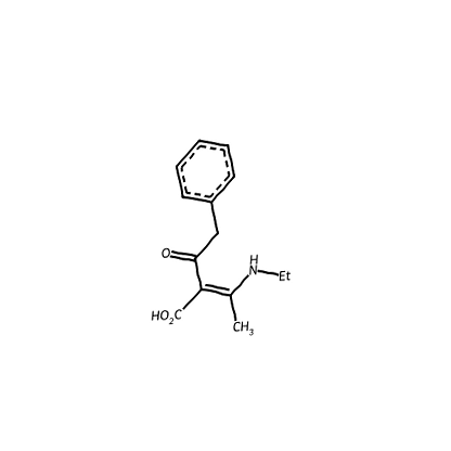 CCNC(C)=C(C(=O)O)C(=O)Cc1ccccc1